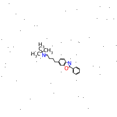 CC(C)(C)N=CCCCc1ccc2nc(-c3ccccc3)oc2c1